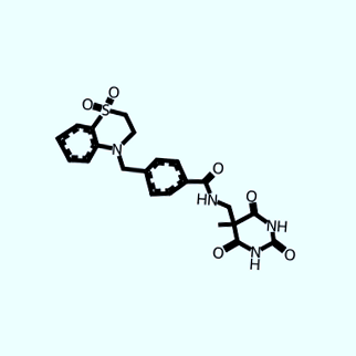 CC1(CNC(=O)c2ccc(CN3CCS(=O)(=O)c4ccccc43)cc2)C(=O)NC(=O)NC1=O